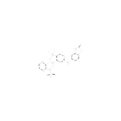 CN(c1nccnc1CNc1nc(Nc2ccc3c(c2)NC(=O)C3)ncc1C(F)(F)F)S(C)(=O)=O